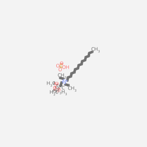 CCCCCCCCCCCCCCCC[N+](CCC)(CCC)CC(C)[Si](OC)(OC)OC.O=S(=O)([O-])O